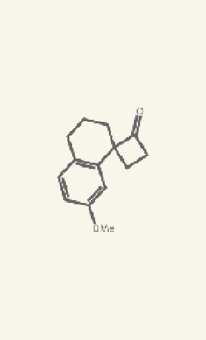 COc1ccc2c(c1)C1(CCC2)CCC1=O